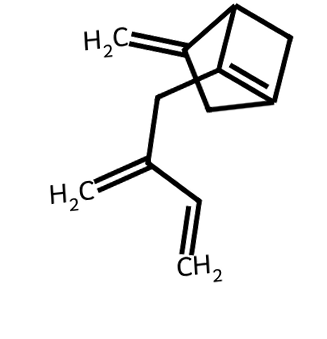 C=CC(=C)CC1=C2CC(=C)C1C2